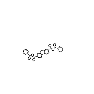 O=C(OC(=O)c1ccc2c(c1)Cc1cc(C(=O)OC(=O)c3ccccc3)ccc1-2)c1ccccc1